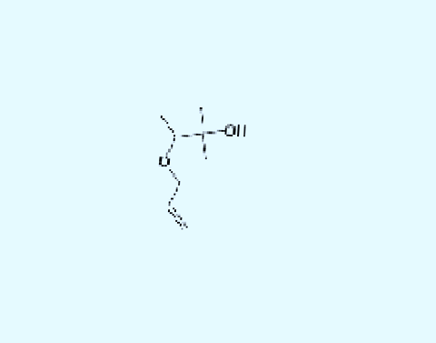 C=CCOC(C)C(C)(C)O